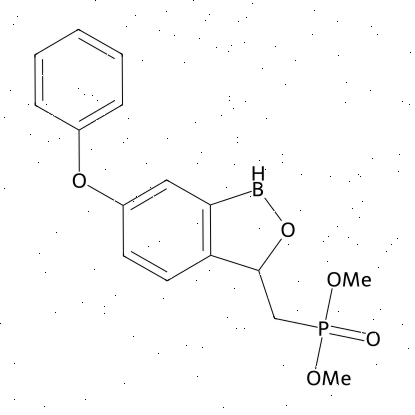 COP(=O)(CC1OBc2cc(Oc3ccccc3)ccc21)OC